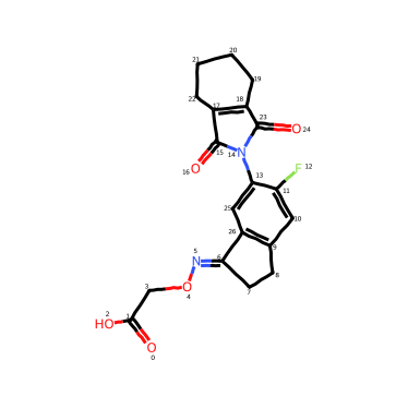 O=C(O)CON=C1CCc2cc(F)c(N3C(=O)C4=C(CCCC4)C3=O)cc21